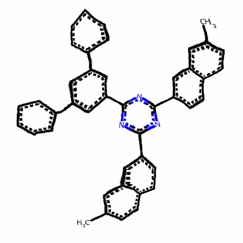 Cc1ccc2ccc(-c3nc(-c4cc(-c5ccccc5)cc(-c5ccccc5)c4)nc(-c4ccc5ccc(C)cc5c4)n3)cc2c1